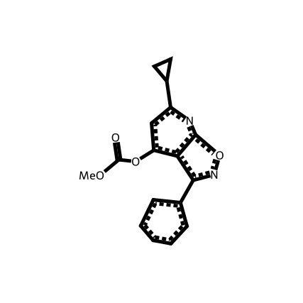 COC(=O)Oc1cc(C2CC2)nc2onc(-c3ccccc3)c12